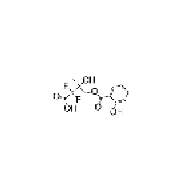 CC(O)(COC(=O)c1ccccc1O)C(F)(F)C(=O)O